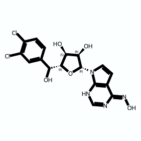 ON=c1nc[nH]c2c1ccn2[C@@H]1O[C@H](C(O)c2ccc(Cl)c(Cl)c2)[C@@H](O)[C@H]1O